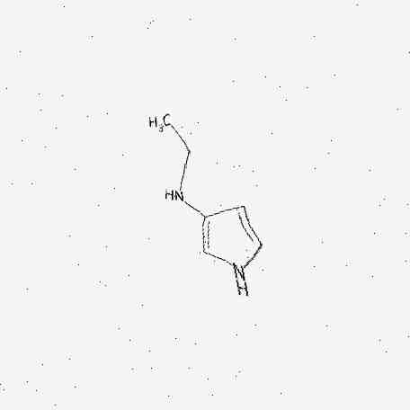 CCNc1[c][nH]cc1